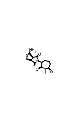 Nc1scc2c1C(=O)N(C1CCCC(=O)NC1=O)C2=O